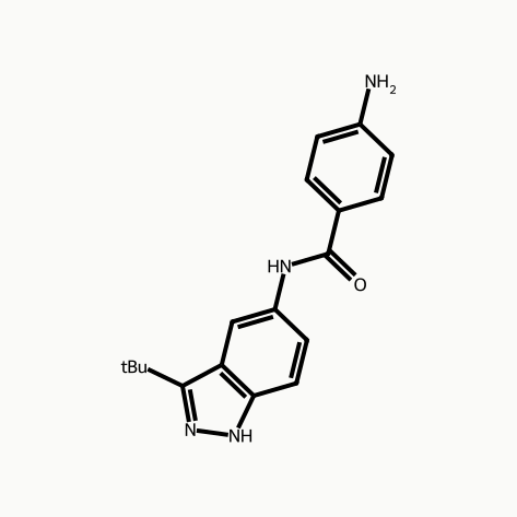 CC(C)(C)c1n[nH]c2ccc(NC(=O)c3ccc(N)cc3)cc12